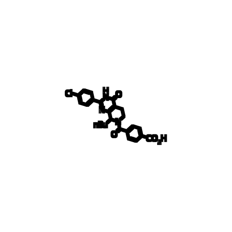 CCCCC1c2nc(-c3ccc(Cl)cc3)[nH]c(=O)c2CCN1C(=O)c1ccc(C(=O)O)cc1